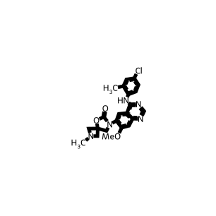 COc1cc2ncnc(Nc3ccc(Cl)cc3C)c2cc1N1CC2(CN(C)C2)OC1=O